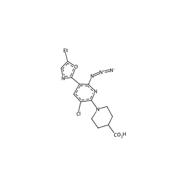 CCc1cnc(-c2cc(Cl)c(N3CCC(C(=O)O)CC3)nc2N=[N+]=[N-])o1